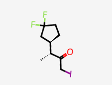 C[C@@H](C(=O)CI)[C@@H]1CCC(F)(F)C1